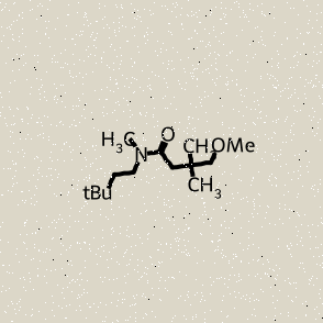 COCC(C)(C)CC(=O)N(C)CCC(C)(C)C